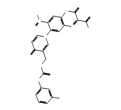 O=C(Nc1cccc(Br)c1)OCc1cn(-c2cc3nc(C(=O)O)c(=O)[nH]c3cc2[N+](=O)[O-])ccc1=O